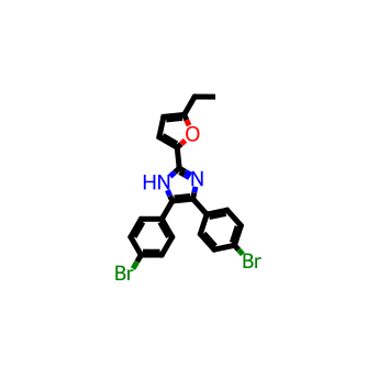 CCc1ccc(-c2nc(-c3ccc(Br)cc3)c(-c3ccc(Br)cc3)[nH]2)o1